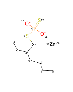 CCCCC(CC)CSP([O-])([O-])=S.[Zn+2]